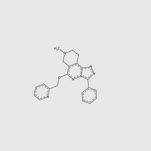 CN1CCc2c(c(OCc3ccccn3)nn3c(-c4ccccc4)nnc23)C1